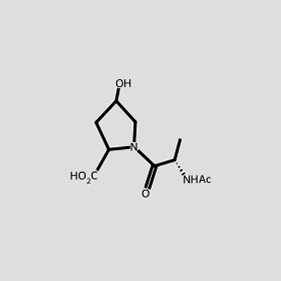 CC(=O)N[C@@H](C)C(=O)N1CC(O)CC1C(=O)O